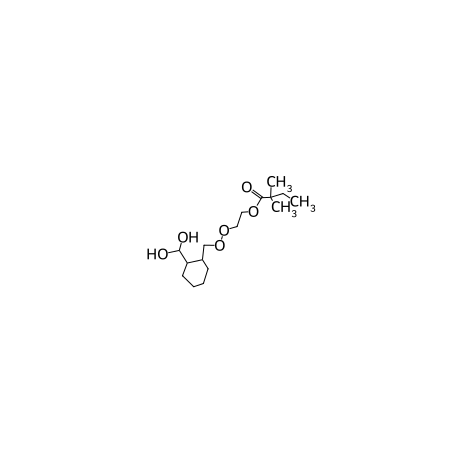 CCC(C)(C)C(=O)OCCOOCC1CCCCC1C(O)O